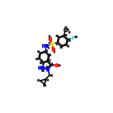 O=c1c2cc(NS(=O)(=O)c3ccc(F)c(C(F)(F)F)c3)ccc2[nH]n1CC1CC1